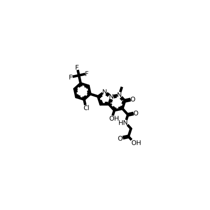 Cn1c(=O)c(C(=O)NCC(=O)O)c(O)c2cc(-c3cc(C(F)(F)F)ccc3Cl)nn21